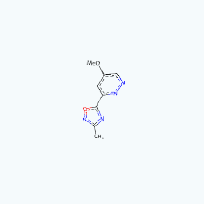 COc1cnnc(-c2nc(C)no2)c1